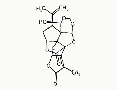 C=C(C)[C@@H]1CC2OC(=O)C34OC5OCO[C@H](O)C51C23CC1OC(=O)C(C)=C14